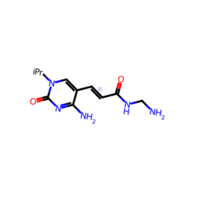 CC(C)n1cc(/C=C/C(=O)NCN)c(N)nc1=O